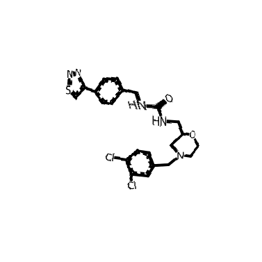 O=C(NCc1ccc(-c2csnn2)cc1)NCC1CN(Cc2ccc(Cl)c(Cl)c2)CCO1